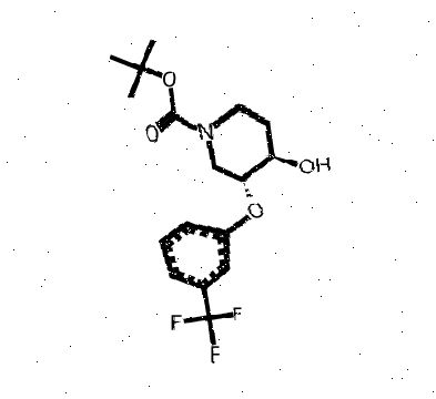 CC(C)(C)OC(=O)N1CC[C@@H](O)[C@H](Oc2cccc(C(F)(F)F)c2)C1